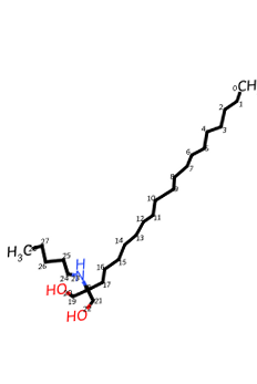 CCCCCCCCCCCCCCCCCCC(CO)(CO)NCCCCC